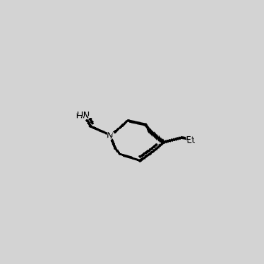 [CH2]CC1=CCN(C=N)CC1